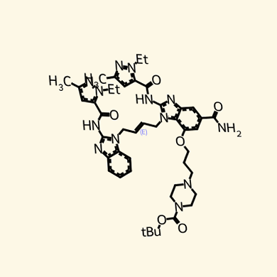 CCn1nc(C)cc1C(=O)Nc1nc2ccccc2n1C/C=C/Cn1c(NC(=O)c2cc(C)nn2CC)nc2cc(C(N)=O)cc(OCCCN3CCN(C(=O)OC(C)(C)C)CC3)c21